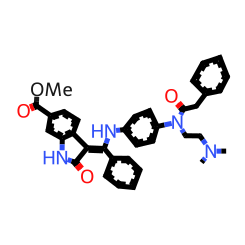 COC(=O)c1ccc2c(c1)NC(=O)C2=C(Nc1ccc(N(CCN(C)C)C(=O)Cc2ccccc2)cc1)c1ccccc1